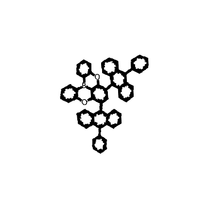 c1ccc(-c2c3ccccc3c(-c3cc(-c4c5ccccc5c(-c5ccccc5)c5ccccc45)c4c5c3Oc3ccccc3B5c3ccccc3O4)c3ccccc23)cc1